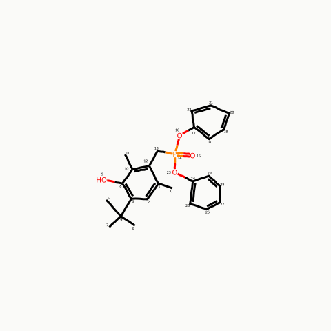 Cc1cc(C(C)(C)C)c(O)c(C)c1CP(=O)(Oc1ccccc1)Oc1ccccc1